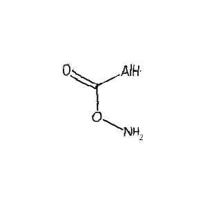 NO[C](=O)[AlH]